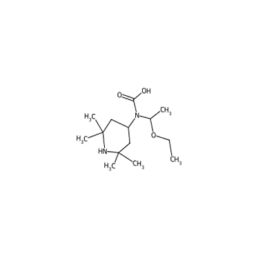 CCOC(C)N(C(=O)O)C1CC(C)(C)NC(C)(C)C1